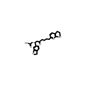 O=C(O)C[C@H](CC(=O)CCCCc1ccc2c(n1)NCCC2)c1ccc2c(c1)OCC2